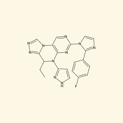 CCC1c2nncn2-c2cnc(-n3ccnc3-c3ccc(F)cc3)nc2N1c1cc[nH]n1